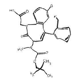 CN(C(=O)OC(C)(C)C)C1C=C(c2ccccc2F)c2cc(Cl)ccc2N(CC(=O)O)C1=O